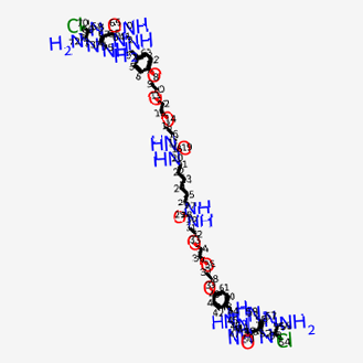 N=C(NCc1ccc(OCCOCCOCCNC(=O)NCCCCCCNC(=O)NCCOCCOCCOc2ccc(CNC(=N)NC(=O)c3nc(Cl)c(N)nc3N)cc2)cc1)NC(=O)c1nc(Cl)c(N)nc1N